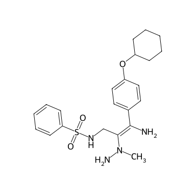 CN(N)/C(CNS(=O)(=O)c1ccccc1)=C(\N)c1ccc(OC2CCCCC2)cc1